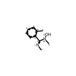 CN=C(c1ccccc1C)N(C)O